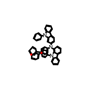 c1ccc(-c2ccc(N(c3ccc4c5ccccc5n(-c5ccccc5)c4c3)c3cccc4c5ccccc5n(-c5ccc(-c6ccccc6)cc5)c34)cc2)cc1